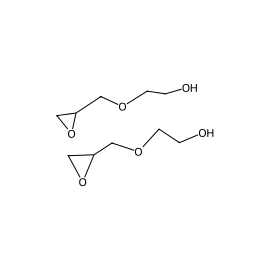 OCCOCC1CO1.OCCOCC1CO1